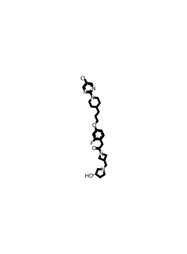 O=C(Cc1ccc(OCCCC2CCN(c3ncc(Cl)cn3)CC2)cc1F)N1CC(CN2CC[C@H](O)C2)C1